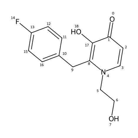 O=c1ccn(CCO)c(Cc2ccc(F)cc2)c1O